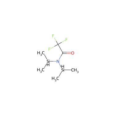 C[SiH](C)N(C(=O)C(F)(F)F)[SiH](C)C